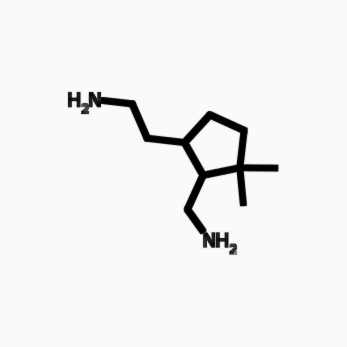 CC1(C)CCC(CCN)C1CN